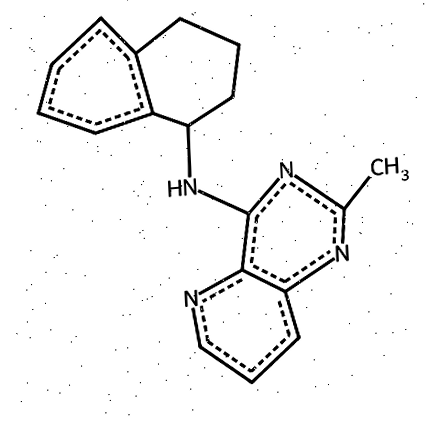 Cc1nc(NC2CCCc3ccccc32)c2ncccc2n1